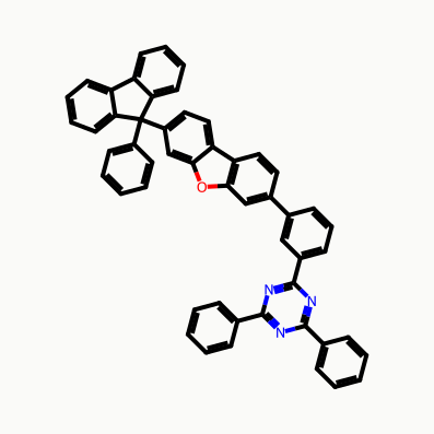 c1ccc(-c2nc(-c3ccccc3)nc(-c3cccc(-c4ccc5c(c4)oc4cc(C6(c7ccccc7)c7ccccc7-c7ccccc76)ccc45)c3)n2)cc1